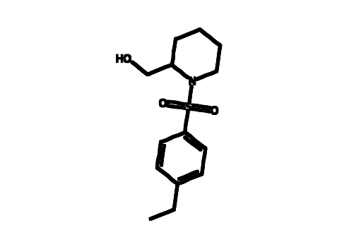 CCc1ccc(S(=O)(=O)N2CCCCC2CO)cc1